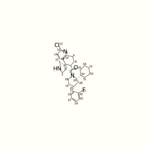 O=C([C@@H]1CNC[C@]12CCCc1nc(Cl)ccc12)N1CC[C@@H](c2ccccc2F)C[C@H]1C1CCCCC1